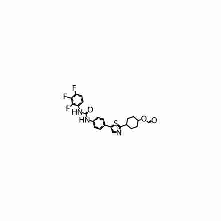 O=COC1CCC(c2ncc(-c3ccc(NC(=O)Nc4ccc(F)c(F)c4F)cc3)s2)CC1